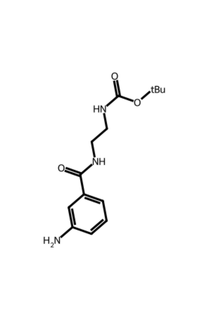 CC(C)(C)OC(=O)NCCNC(=O)c1cccc(N)c1